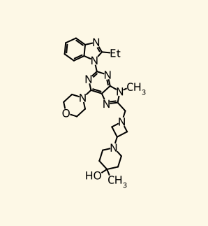 CCc1nc2ccccc2n1-c1nc(N2CCOCC2)c2nc(CN3CC(N4CCC(C)(O)CC4)C3)n(C)c2n1